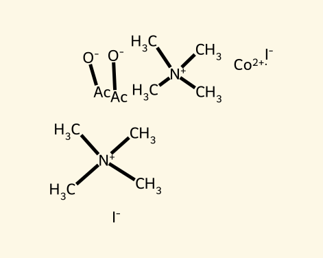 CC(=O)[O-].CC(=O)[O-].C[N+](C)(C)C.C[N+](C)(C)C.[Co+2].[I-].[I-]